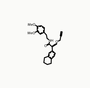 C#CCO/C=C(\C(=O)NCCc1ccc(OC)c(OC)c1)c1ccc2c(c1)CCCC2